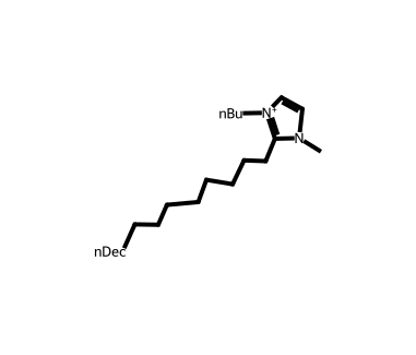 CCCCCCCCCCCCCCCCCCc1n(C)cc[n+]1CCCC